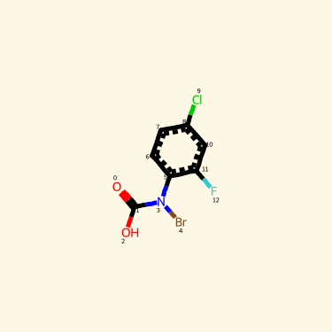 O=C(O)N(Br)c1ccc(Cl)cc1F